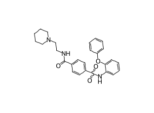 O=C(NCCN1CCCCC1)c1ccc(S(=O)(=O)Nc2ccccc2Oc2ccccc2)cc1